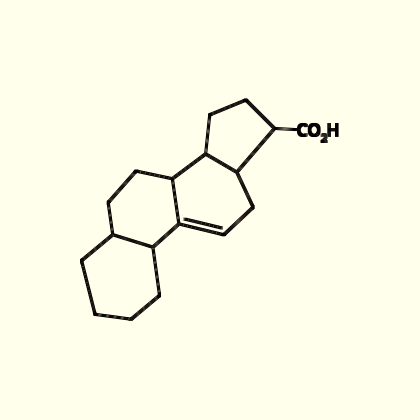 O=C(O)C1CCC2C3CCC4CCCCC4C3=CCC12